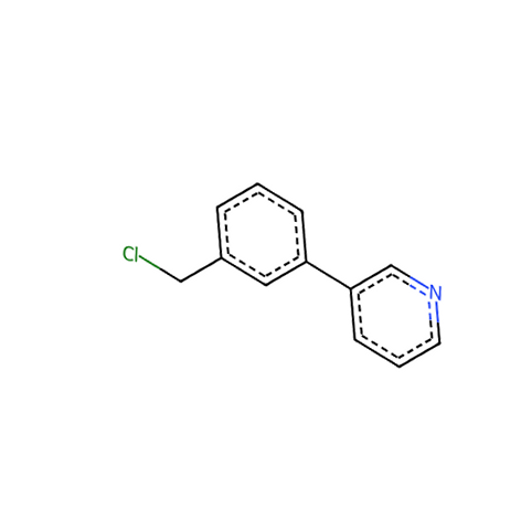 ClCc1cccc(-c2cccnc2)c1